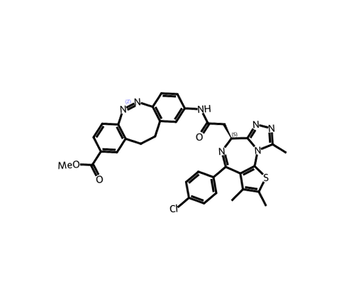 COC(=O)c1ccc2c(c1)CCc1cc(NC(=O)C[C@@H]3N=C(c4ccc(Cl)cc4)c4c(sc(C)c4C)-n4c(C)nnc43)ccc1/N=N\2